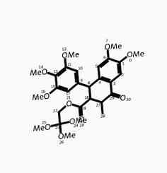 COc1cc2c(cc1OC)C(c1cc(OC)c(OC)c(OC)c1)C(C(=O)OCC(OC)(OC)OC)C(C)C2=O